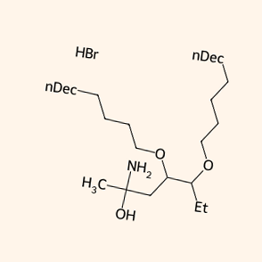 Br.CCCCCCCCCCCCCCOC(CC)C(CC(C)(N)O)OCCCCCCCCCCCCCC